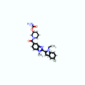 CCn1c(-c2nc3cc(C(=O)N4CCCC(OC(N)=O)C4)ccc3n2C)cc2cc(F)ccc21